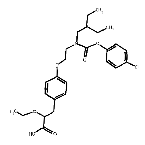 CCOC(Cc1ccc(OCCN(CC(CC)CC)C(=O)Oc2ccc(Cl)cc2)cc1)C(=O)O